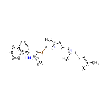 CC(C)=CCC/C(C)=C/CC/C(C)=C/CSC[C@H](Nc1cccc2ccccc12)C(=O)O